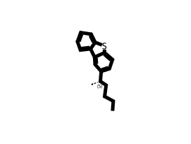 CCCC[C@H](C)c1ccc2sc3ccccc3c2c1